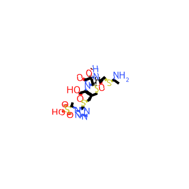 CO[C@@]1(NC(=O)CSC(C)N)C(=O)N2C(C(=O)O)=C(CSc3nnnn3C(C)S(=O)(=O)O)CS[C@@H]21